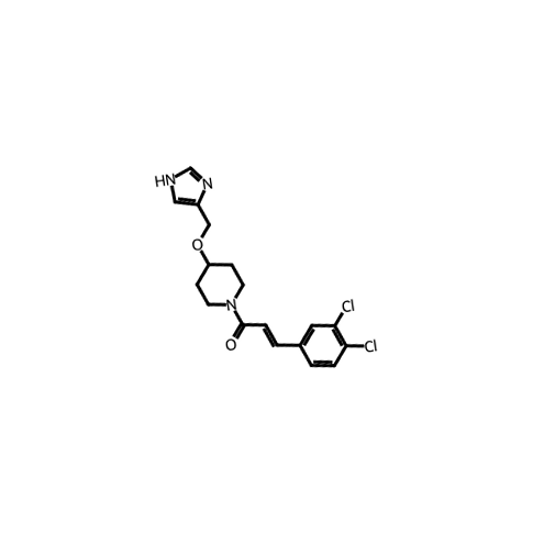 O=C(C=Cc1ccc(Cl)c(Cl)c1)N1CCC(OCc2c[nH]cn2)CC1